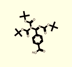 CC(C)(C)OC(=O)N=C(c1ccc(C(=O)O)cc1)N(C(=O)OC(C)(C)C)C(=O)OC(C)(C)C